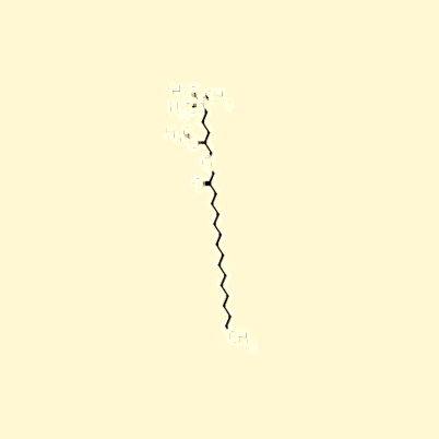 CCCCCCCCCCCCCCCC(=O)COCC(C[CH]C[N+](C)(C)C)OC